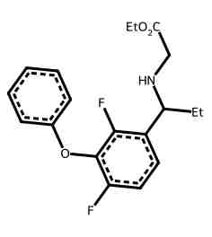 CCOC(=O)CNC(CC)c1ccc(F)c(Oc2ccccc2)c1F